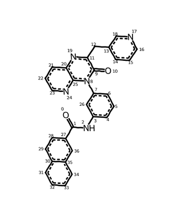 O=C(Nc1cccc(-n2c(=O)c(Cc3cccnc3)nc3cccnc32)c1)c1ccc2ccccc2c1